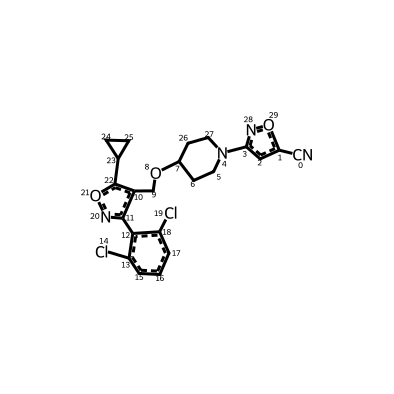 N#Cc1cc(N2CCC(OCc3c(-c4c(Cl)cccc4Cl)noc3C3CC3)CC2)no1